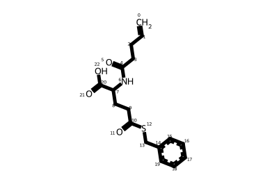 C=CCCC(=O)NC(CCC(=O)SCc1ccccc1)C(=O)O